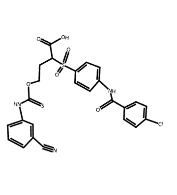 N#Cc1cccc(NC(=S)OCCC(C(=O)O)S(=O)(=O)c2ccc(NC(=O)c3ccc(Cl)cc3)cc2)c1